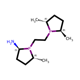 C[C@@H]1CC[C@@H](C)P1CCP1[C@H](C)CC[C@H]1N